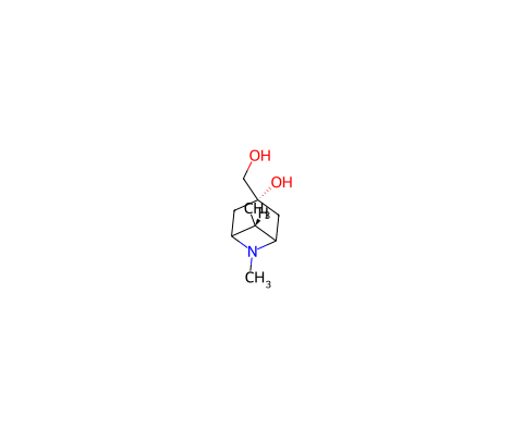 CN1C2C[C@](O)(CO)CC1[C@@H]2C